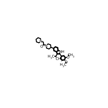 COc1ccc(-c2[nH]c3ccc(C4CCN(C(=O)CN5CCCCC5)CC4)cc3c2C(C)C)cc1OC